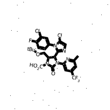 Cc1cc(C(F)(F)F)cc(N2C(=O)N(C(=O)O)C(COC(C)(C)C)C2c2ncc(Cl)n2-c2ccc(F)c(Cl)c2)n1